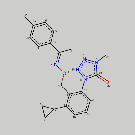 CC(=NOCc1c(C2CC2)cccc1-n1nnn(C)c1=O)c1ccc(C)cc1